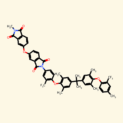 Cc1ccc(Oc2c(C)cc(C(C)(C)c3cc(C)c(Oc4ccc(N5C(=O)c6ccc(Oc7ccc8c(c7)C(=O)N(C)C8=O)cc6C5=O)cc4C(F)(F)F)c(C)c3)cc2C)c(C(F)(F)F)c1